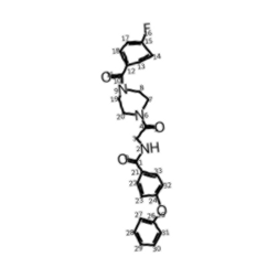 O=C(NCC(=O)N1CCN(C(=O)c2ccc(F)cc2)CC1)c1ccc(Oc2ccccc2)cc1